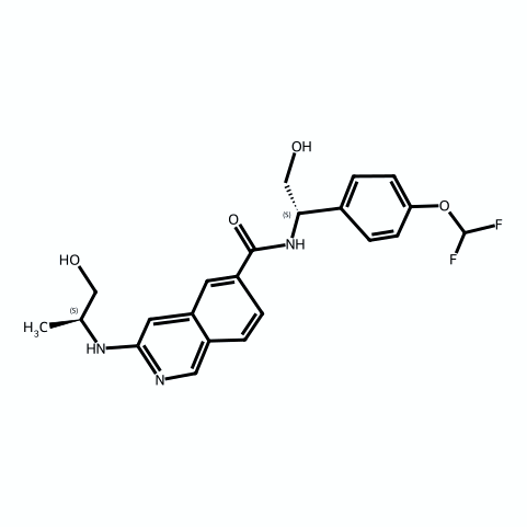 C[C@@H](CO)Nc1cc2cc(C(=O)N[C@H](CO)c3ccc(OC(F)F)cc3)ccc2cn1